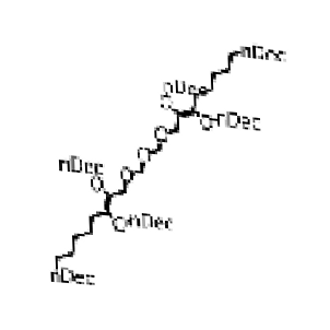 CCCCCCCCCCCCCCCC(OCCCCCCCCCC)=C(COCOCOCC(OCCCCCCCCCC)=C(CCCCCCCCCCCCCCC)OCCCCCCCCCC)OCCCCCCCCCC